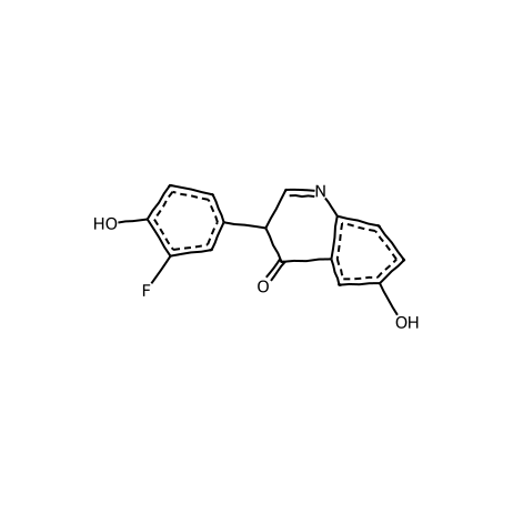 O=C1c2cc(O)ccc2N=CC1c1ccc(O)c(F)c1